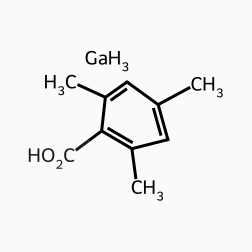 Cc1cc(C)c(C(=O)O)c(C)c1.[GaH3]